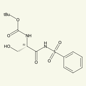 CC(C)(C)OC(=O)N[C@@H](CO)C(=O)NS(=O)(=O)c1ccccc1